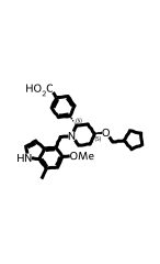 COc1cc(C)c2[nH]ccc2c1CN1CC[C@H](OCC2CCCC2)C[C@H]1c1ccc(C(=O)O)cc1